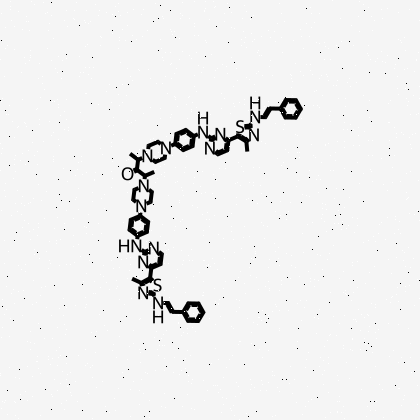 Cc1nc(NC=Cc2ccccc2)sc1-c1ccnc(Nc2ccc(N3CCN(C(C)C(=O)C(C)N4CCN(c5ccc(Nc6nccc(-c7sc(NC=Cc8ccccc8)nc7C)n6)cc5)CC4)CC3)cc2)n1